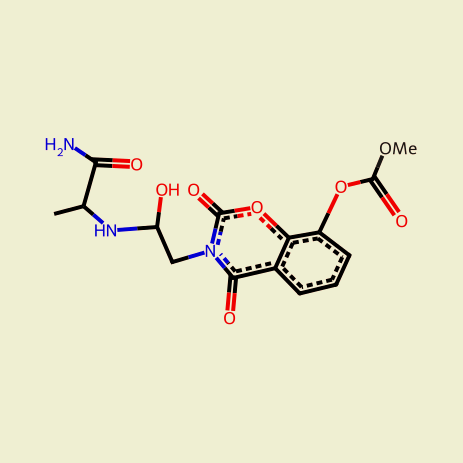 COC(=O)Oc1cccc2c(=O)n(CC(O)NC(C)C(N)=O)c(=O)oc12